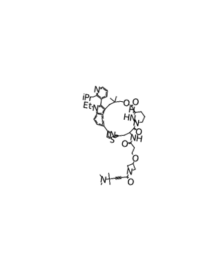 CCn1c(-c2cccnc2C(C)C)c2c3cc(ccc31)-c1csc(n1)C[C@H](NC(=O)CCOC1CN(C(=O)C#CC(C)(C)N(C)C)C1)C(=O)N1CCC[C@H](N1)C(=O)OCC(C)(C)C2